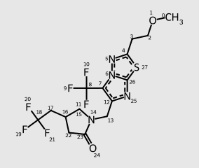 COCCc1nn2c(C(F)(F)F)c(CN3CC(CC(F)(F)F)CC3=O)nc2s1